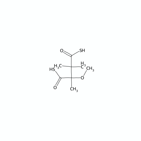 COC(C)(C(=O)S)C(C)(C)C(=O)S